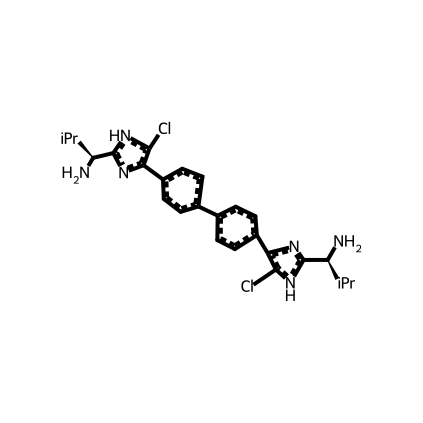 CC(C)[C@H](N)c1nc(-c2ccc(-c3ccc(-c4nc([C@@H](N)C(C)C)[nH]c4Cl)cc3)cc2)c(Cl)[nH]1